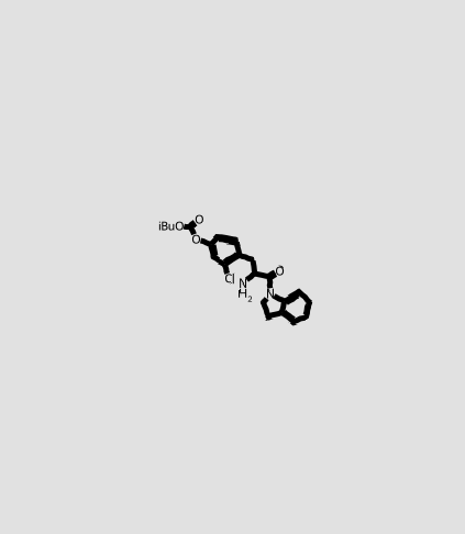 CC(C)COC(=O)Oc1ccc(CC(N)C(=O)N2CCc3ccccc32)c(Cl)c1